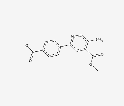 COC(=O)c1cc(-c2ccc([N+](=O)[O-])cc2)ncc1N